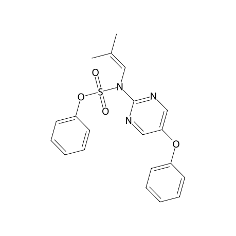 CC(C)=CN(c1ncc(Oc2ccccc2)cn1)S(=O)(=O)Oc1ccccc1